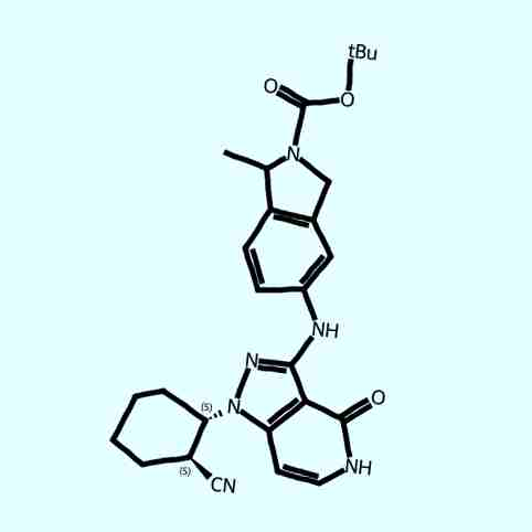 CC1c2ccc(Nc3nn([C@H]4CCCC[C@@H]4C#N)c4cc[nH]c(=O)c34)cc2CN1C(=O)OC(C)(C)C